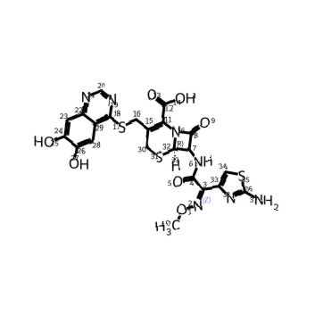 CO/N=C(\C(=O)NC1C(=O)N2C(C(=O)O)=C(CSc3ncnc4cc(O)c(O)cc34)CS[C@H]12)c1csc(N)n1